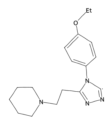 CCOc1ccc(-n2[c]nnc2CCN2CCCCC2)cc1